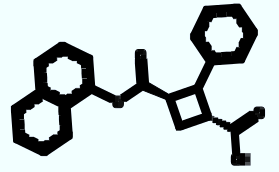 O=C(O)[C@@H]1C[C@@H](C(=O)Oc2cccc3ccccc23)C1c1ccccc1